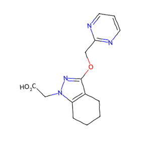 O=C(O)Cn1nc(OCc2ncccn2)c2c1CCCC2